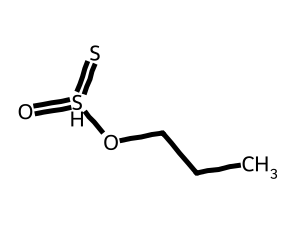 CCCO[SH](=O)=S